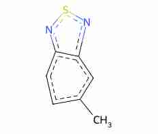 Cc1ccc2nsnc2c1